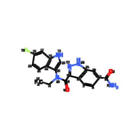 NC(=O)c1ccc2c(C(=O)N(CC(F)(F)F)c3c[nH]c4cc(F)ccc34)n[nH]c2c1